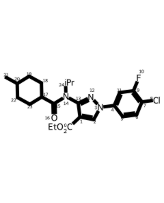 CCOC(=O)c1cn(-c2ccc(Cl)c(F)c2)nc1N(C(=O)C1CCC(C)CC1)C(C)C